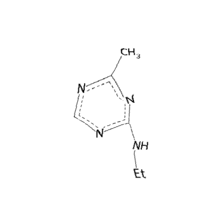 CCNc1ncnc(C)n1